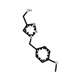 COc1ccc(Cn2cc(CO)nn2)cc1